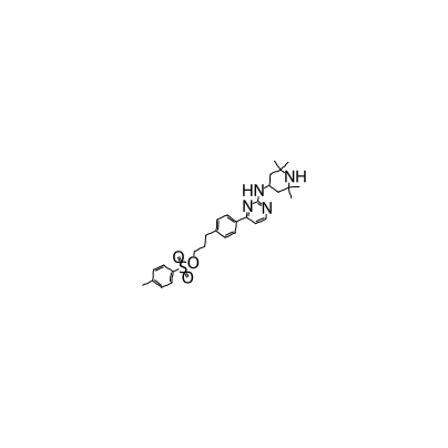 Cc1ccc(S(=O)(=O)OCCCc2ccc(-c3ccnc(NC4CC(C)(C)NC(C)(C)C4)n3)cc2)cc1